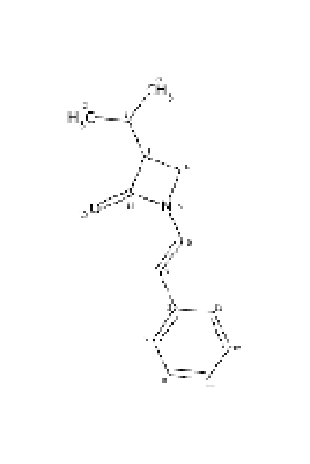 CC(C)C1CN(C=Cc2ccccc2)C1=O